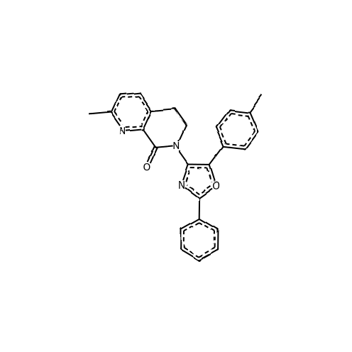 Cc1ccc(-c2oc(-c3ccccc3)nc2N2CCc3ccc(C)nc3C2=O)cc1